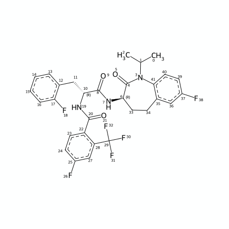 CC(C)N1C(=O)[C@H](NC(=O)[C@@H](Cc2ccccc2F)NC(=O)c2ccc(F)cc2C(F)(F)F)CCc2cc(F)ccc21